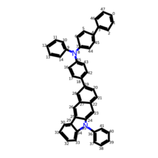 c1ccc(-c2ccc(N(c3ccccc3)c3ccc(-c4ccc5cc6c(cc5c4)c4ccccc4n6-c4ccccc4)cc3)cc2)cc1